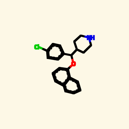 Clc1ccc(C(Oc2cccc3ccccc23)C2CCNCC2)cc1